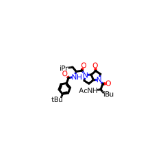 CCC(C)C(NC(C)=O)C(=O)N1CC(=O)C2C1CCN2C(=O)C(CC(C)C)NC(=O)c1ccc(C(C)(C)C)cc1